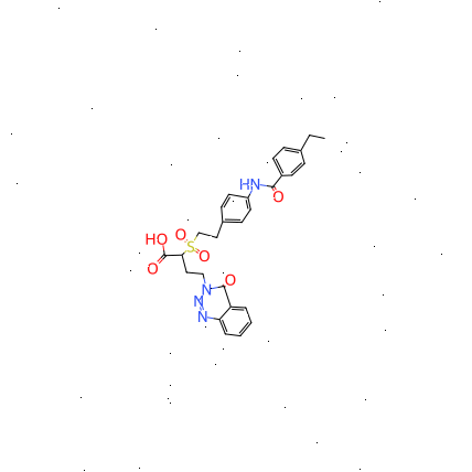 CCc1ccc(C(=O)Nc2ccc(CCS(=O)(=O)C(CCn3nnc4ccccc4c3=O)C(=O)O)cc2)cc1